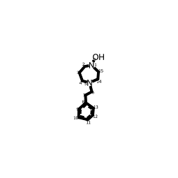 ON1CCCN(CCc2ccccc2)CC1